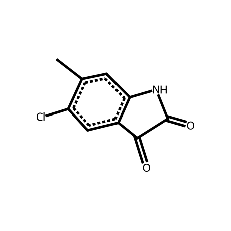 Cc1cc2c(cc1Cl)C(=O)C(=O)N2